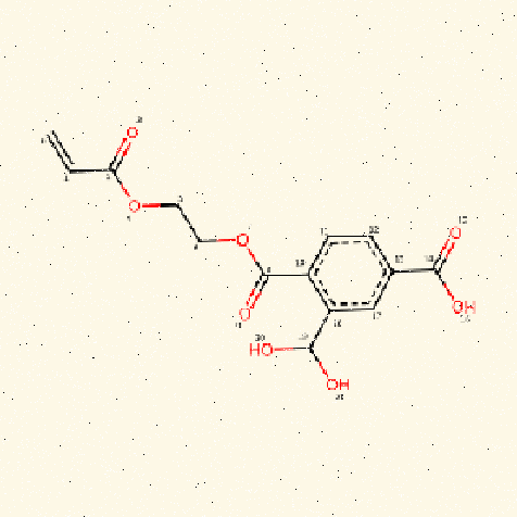 C=CC(=O)OCCOC(=O)c1ccc(C(=O)O)cc1C(O)O